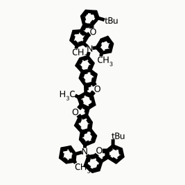 Cc1ccccc1N(c1ccc2cc3c(cc2c1)oc1c(C)c2c(cc13)oc1cc3cc(N(c4ccccc4C)c4c(C)ccc5c4oc4c(C(C)(C)C)cccc45)ccc3cc12)c1cccc2c1oc1c(C(C)(C)C)cccc12